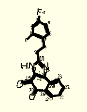 Cc1cc(F)ccc1CCc1nc2c([nH]1)C(=O)C(=O)c1ccccc1-2